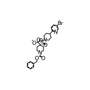 COC(=O)C1(S(=O)(=O)N2CCC(c3ccc(Br)cn3)CC2)CCN(C(=O)OCc2ccccc2)CC1